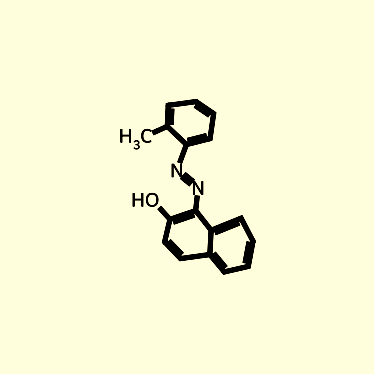 Cc1ccccc1/N=N/c1c(O)ccc2ccccc12